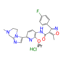 Cc1onc(-c2ccc(F)cc2)c1C(=O)Nc1ccc(-c2cnc3n2CCN(C)C3)nc1OC(C)C.Cl